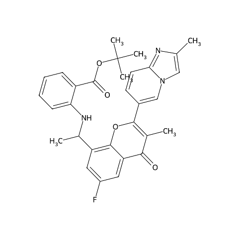 Cc1cn2cc(-c3oc4c(C(C)Nc5ccccc5C(=O)OC(C)(C)C)cc(F)cc4c(=O)c3C)ccc2n1